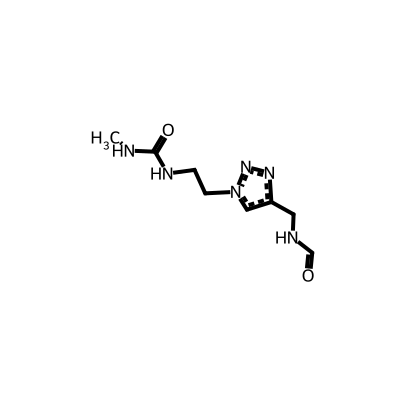 CNC(=O)NCCn1cc(CNC=O)nn1